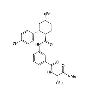 CCCC[C@H](NC(=O)c1cccc(NC(=O)[C@@H]2CCC(CCC)C[C@H]2c2ccc(Cl)cc2)c1)C(=O)NC